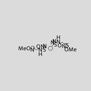 COC1=NC(CC(=O)Nc2nnc([C@H]3CCC[C@H](c4nnc(NC(=O)Cc5csc(OC)n5)s4)C3)s2)=CC1